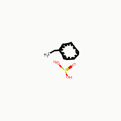 Cc1ccccc1.O=S(O)O